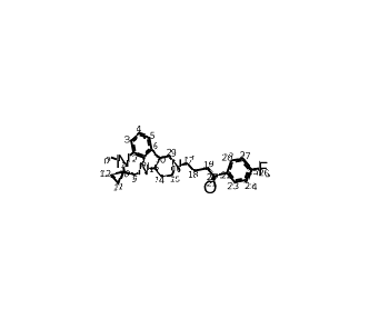 CN1c2cccc3c2N(CC12CC2)C1CCN(CCCC(=O)c2ccc(F)cc2)CC31